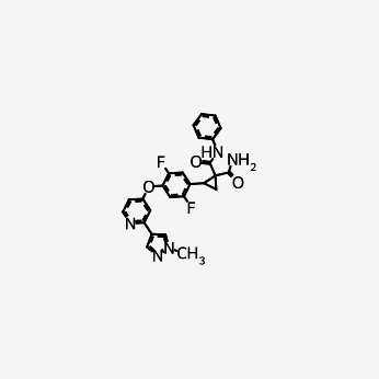 Cn1cc(-c2cc(Oc3cc(F)c(C4CC4(C(N)=O)C(=O)Nc4ccccc4)cc3F)ccn2)cn1